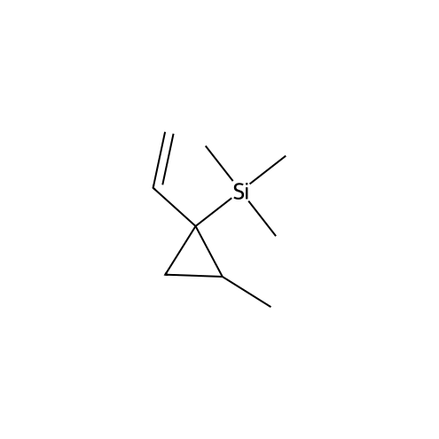 C=CC1([Si](C)(C)C)CC1C